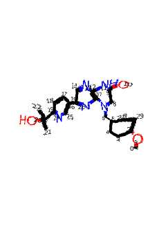 CO[C@H]1CC[C@@H](CN2CC(=O)Nc3ncc(-c4ccc(C(C)(C)O)nc4)nc32)CC1